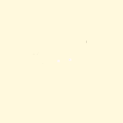 CC/C=C1\CCCC\C1=C/CC